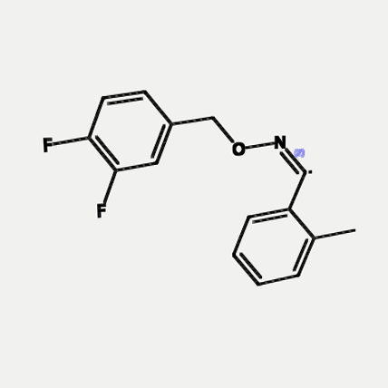 Cc1ccccc1/[C]=N\OCc1ccc(F)c(F)c1